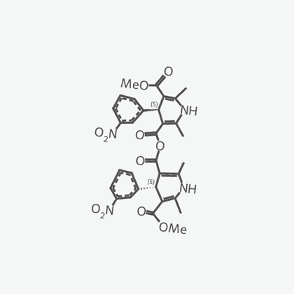 COC(=O)C1=C(C)NC(C)=C(C(=O)OC(=O)C2=C(C)NC(C)=C(C(=O)OC)[C@@H]2c2cccc([N+](=O)[O-])c2)[C@H]1c1cccc([N+](=O)[O-])c1